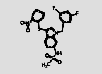 CS(=O)(=O)Nc1ccc2c(Sc3ccccc3[N+](=O)[O-])cn(Cc3cc(F)cc(F)c3)c2c1